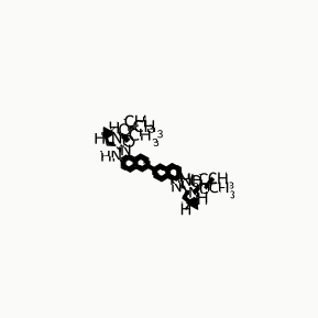 CC(C)(C)OC(=O)N1[C@@H]2C[C@@H]2C[C@H]1c1nc2c(ccc3cc(-c4ccc5c(ccc6[nH]c([C@@H]7C[C@H]8C[C@H]8N7C(=O)OC(C)(C)C)nc65)c4)ccc32)[nH]1